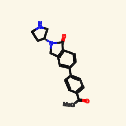 COC(=O)c1ccc(-c2ccc3c(c2)CN([C@@H]2CCNC2)C3=O)cc1